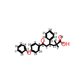 CC(C)(CC(CC(=O)c1ccc(Oc2ccccc2)cc1)c1ccccc1)C(=O)O